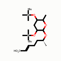 CC1OC(O[C@H](C)CC/C=C/C(=O)O)C(O[Si](C)(C)C(C)(C)C)CC1O[Si](C)(C)C(C)(C)C